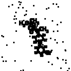 CN(C(=O)OC(C)(C)C)C1CCN(c2cccc(Br)c2)CC1